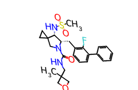 CC1(CNC(=O)N2CC3(CC3)[C@H](NS(C)(=O)=O)[C@@H]2Cc2cccc(-c3ccccc3)c2F)COC1